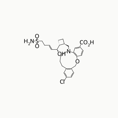 NS(=O)(=O)CC/C=C/[C@H](O)[C@@H]1CC[C@H]1CN1CCCCc2cc(Cl)ccc2COc2ccc(C(=O)O)cc21